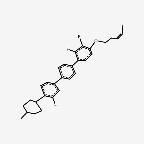 C/C=C\CCOc1ccc(-c2ccc(-c3ccc(C4CCC(C)CC4)c(F)c3)cc2)c(F)c1F